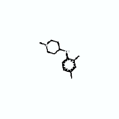 Cc1ccc(NC2CCN(C)CC2)c(C)c1